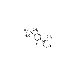 C[C@H]1COCCN1c1ccc(C(C)(C)C)cc1F